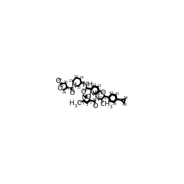 Cc1cc(C(=O)NC(C)C(Oc2ccc(C(=O)N[C@H]3CCCN(C(=O)[C@H]4COC(=O)C4)C3)nc2)c2ccc(C3CC3)cc2)on1